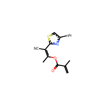 C=C(C)C(=O)OC(C)=C(C#N)c1nc(CCC)cs1